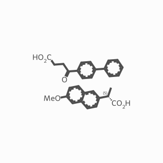 COc1ccc2cc([C@H](C)C(=O)O)ccc2c1.O=C(O)CCC(=O)c1ccc(-c2ccccc2)cc1